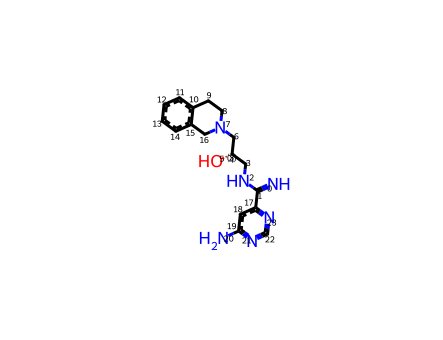 N=C(NC[C@H](O)CN1CCc2ccccc2C1)c1cc(N)ncn1